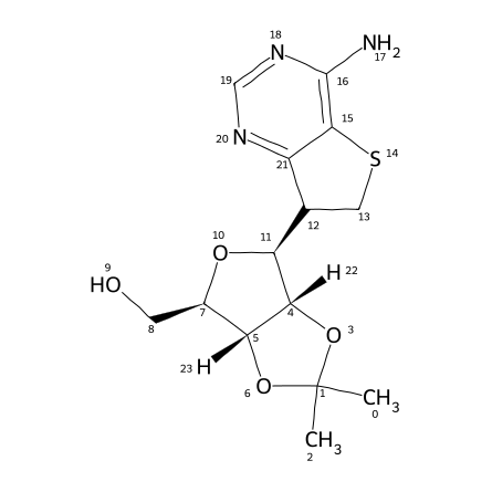 CC1(C)O[C@@H]2[C@H](O1)[C@@H](CO)O[C@H]2C1CSc2c(N)ncnc21